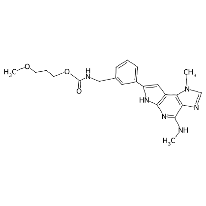 CNc1nc2[nH]c(-c3cccc(CNC(=O)OCCCOC)c3)cc2c2c1ncn2C